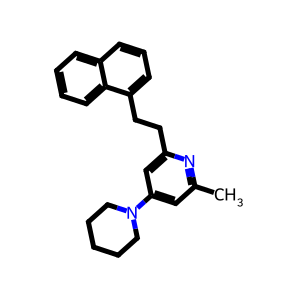 Cc1cc(N2CCCCC2)cc(CCc2cccc3ccccc23)n1